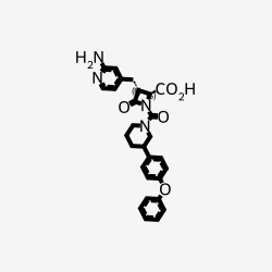 Nc1cc(C[C@H]2C(=O)N(C(=O)N3CCCC(c4ccc(Oc5ccccc5)cc4)C3)[C@@H]2C(=O)O)ccn1